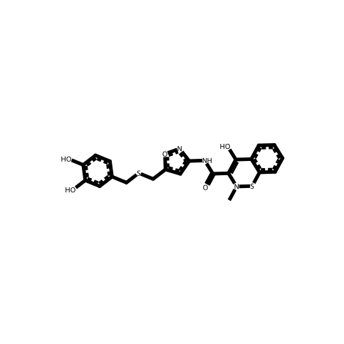 CN1Sc2ccccc2C(O)=C1C(=O)Nc1cc(CSCc2ccc(O)c(O)c2)on1